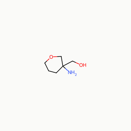 NC1(CO)CCCOC1